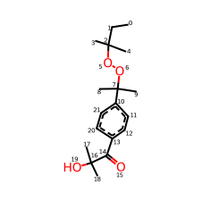 CCC(C)(C)OOC(C)(C)c1ccc(C(=O)C(C)(C)O)cc1